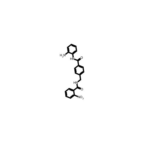 Nc1ccccc1NC(=O)c1ccc(CNC(=O)c2ccccc2[N+](=O)[O-])cc1